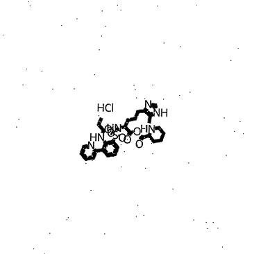 CCC(=O)Nc1c(-c2ccccn2)cccc1S(=O)(=O)NC(CCCc1nc[nH]c1C)C(=O)OC(=O)C1CCCCN1.Cl